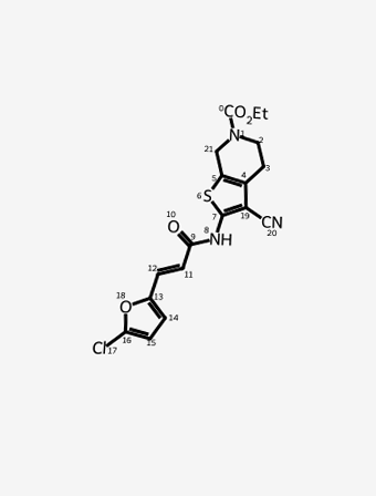 CCOC(=O)N1CCc2c(sc(NC(=O)/C=C/c3ccc(Cl)o3)c2C#N)C1